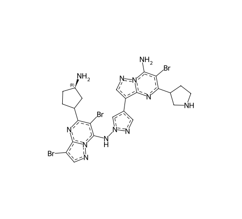 Nc1c(Br)c(C2CCNC2)nc2c(-c3cnn(Nc4c(Br)c(C5CC[C@@H](N)C5)nc5c(Br)cnn45)c3)cnn12